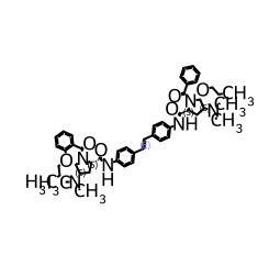 CCCOc1ccccc1C(=O)N1C[C@@H](N(C)C)C[C@H]1C(=O)Nc1ccc(/C=C/c2ccc(NC(=O)[C@@H]3C[C@H](N(C)C)CN3C(=O)c3ccccc3OCCC)cc2)cc1